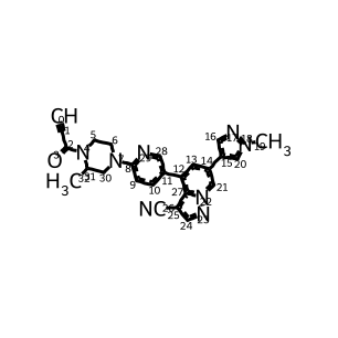 C#CC(=O)N1CCN(c2ccc(-c3cc(-c4cnn(C)c4)cn4ncc(C#N)c34)cn2)CC1C